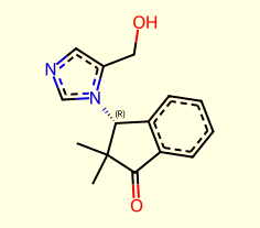 CC1(C)C(=O)c2ccccc2[C@H]1n1cncc1CO